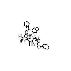 CC(C)C(C)(C)C[C@H](NC(=O)Oc1ccoc1)C(=O)NC1COCC1C(=O)N1CCCC1